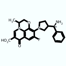 CC1COc2c(N3CCC([C@@H](N)c4ccccc4)C3)c(F)cc3c(=O)c(C(=O)O)cn1c23